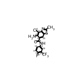 Cc1nc2c(Cl)c(N)c(C(=O)Nc3ccc(F)c(C(F)(F)F)c3)cc2s1